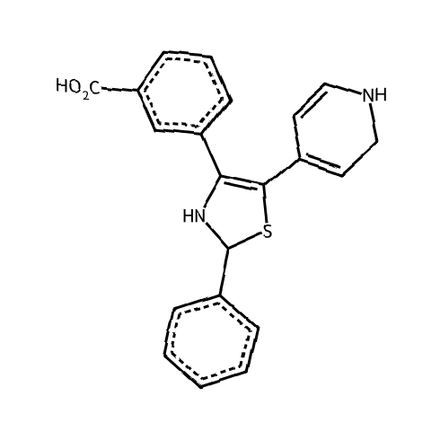 O=C(O)c1cccc(C2=C(C3=CCNC=C3)SC(c3ccccc3)N2)c1